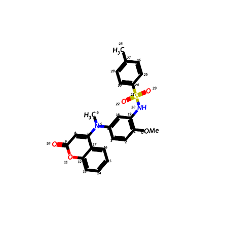 COc1ccc(N(C)c2cc(=O)oc3ccccc23)cc1NS(=O)(=O)c1ccc(C)cc1